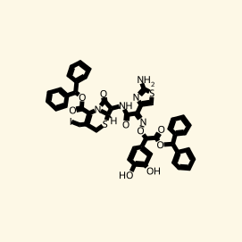 Nc1nc(/C(=N/OC(C(=O)OC(c2ccccc2)c2ccccc2)c2ccc(O)c(O)c2)C(=O)NC2C(=O)N3C(C(=O)OC(c4ccccc4)c4ccccc4)=C(CI)CS[C@H]23)cs1